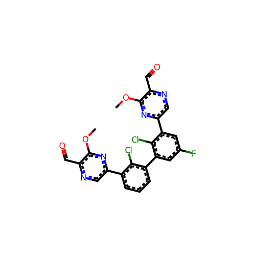 COc1nc(-c2cccc(-c3cc(F)cc(-c4cnc(C=O)c(OC)n4)c3Cl)c2Cl)cnc1C=O